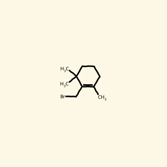 CC1=C(CBr)C(C)(C)CCC1